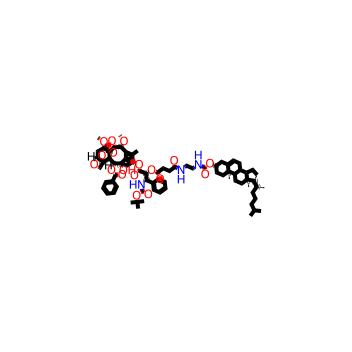 CO[C@H]1C(=O)[C@]2(C)[C@@H](OC)C[C@H]3OC[C@@]3(OC(C)=O)[C@H]2[C@H](OC(=O)c2ccccc2)[C@]2(O)C[C@H](OC(=O)[C@H](OC(=O)CCC(=O)NCCNC(=O)O[C@H]3CC[C@@]4(C)C(=CCC5C4CC[C@@]4(C)C5CC[C@@H]4[C@H](C)CCCC(C)C)C3)[C@@H](NC(=O)OC(C)(C)C)c3ccccc3)C(C)=C1C2(C)C